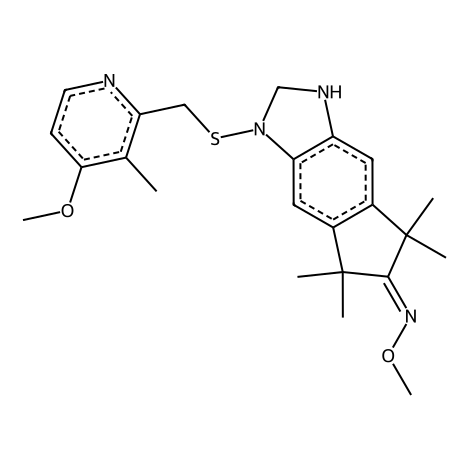 CON=C1C(C)(C)c2cc3c(cc2C1(C)C)N(SCc1nccc(OC)c1C)CN3